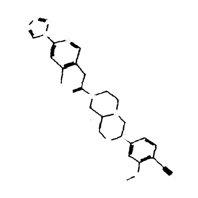 COc1cc([C@@H]2CN3CCN(C(=O)Cc4cnc(-n5cnnn5)cc4C)C[C@@H]3CO2)ccc1C#N